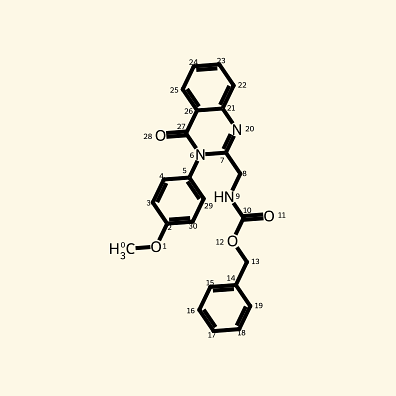 COc1ccc(-n2c(CNC(=O)OCc3ccccc3)nc3ccccc3c2=O)cc1